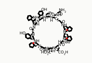 CCCC[C@H]1C(=O)N[C@H](CCC(=O)O)C(=O)N[C@@H](CC(=O)O)C(=O)N[C@@H](C(C)C)C(=O)N(C)[C@@H](Cc2ccccc2)C(=O)N[C@@H](Cc2ccc(O)cc2)C(=O)N(C)CC(=O)N[C@@H](Cc2c[nH]c3ccccc23)C(=O)N[C@@H](Cc2ccc(O)cc2)C(=O)N[C@@H](CC(C)C)C(=O)N[C@H](C(=O)NCC(N)=O)CSCC(=O)N[C@@H](Cc2ccccc2)C(=O)N(C)[C@@H](Cc2ccccc2)C(=O)N1C